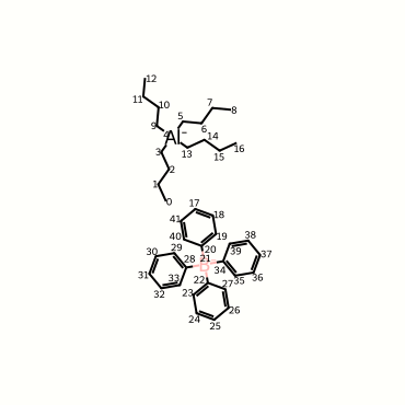 CCC[CH2][Al-]([CH2]CCC)([CH2]CCC)[CH2]CCC.c1ccc([B-](c2ccccc2)(c2ccccc2)c2ccccc2)cc1